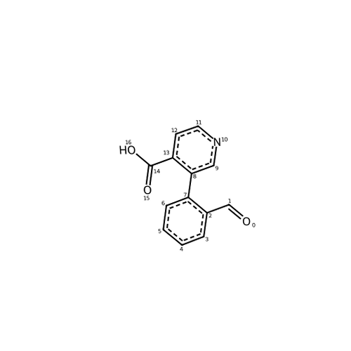 O=Cc1ccccc1-c1cnccc1C(=O)O